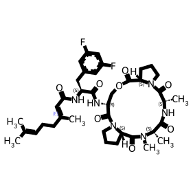 CC(C)=CCC/C(C)=C/C(=O)N[C@@H](Cc1cc(F)cc(F)c1)C(=O)N[C@@H]1COC(=O)[C@@H]2CCCN2C(=O)[C@H](C)NC(=O)[C@H](C)N(C)C(=O)[C@@H]2CCCN2C1=O